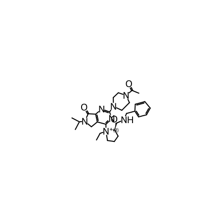 CC[N+]1(c2nc(N3CCN(C(C)=O)CC3)nc3c2CN(C(C)C)C3=O)CCC[C@@H]1C(=O)NCc1ccccc1